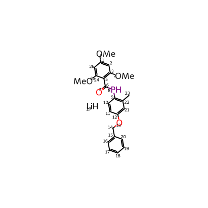 COc1cc(OC)c(C(=O)Pc2ccc(OCc3ccccc3)cc2C)c(OC)c1.[LiH]